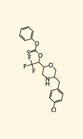 FC(F)(F)C(OC(=S)Oc1ccccc1)C1CNC(Cc2ccc(Cl)cc2)CO1